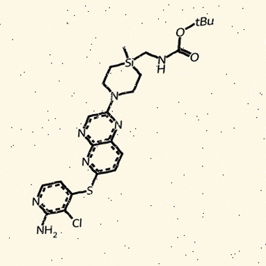 CC(C)(C)OC(=O)NC[Si]1(C)CCN(c2cnc3nc(Sc4ccnc(N)c4Cl)ccc3n2)CC1